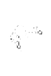 COc1ccc2c(O[C@@H]3C[C@H]4C(=O)N[C@]5(C(=O)O)CC5/C=C\CCCCC[C@H](NC(=O)OC(CN(C)S(=O)(=O)c5ccccc5)C(C)(C)C)C(=O)N4C3)cc(-c3csc(NC(C)C)n3)nc2c1